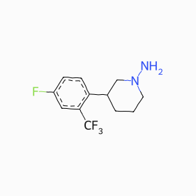 NN1CCCC(c2ccc(F)cc2C(F)(F)F)C1